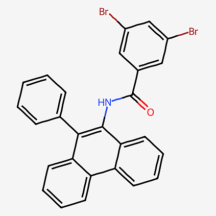 O=C(Nc1c(-c2ccccc2)c2ccccc2c2ccccc12)c1cc(Br)cc(Br)c1